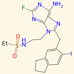 CCS(=O)(=O)NCCn1c(Cc2cc3c(cc2I)CCC3)nc2c(N)nc(F)nc21